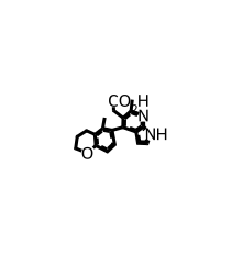 Cc1nc2[nH]ccc2c(-c2ccc3c(c2C)CCCO3)c1CC(=O)O